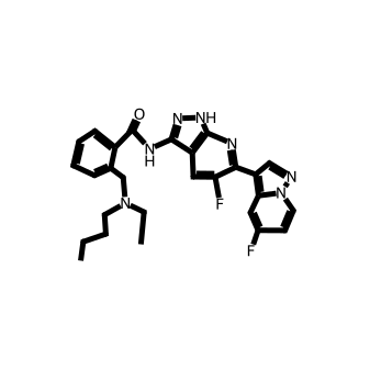 CCCCN(CC)Cc1ccccc1C(=O)Nc1n[nH]c2nc(-c3cnn4ccc(F)cc34)c(F)cc12